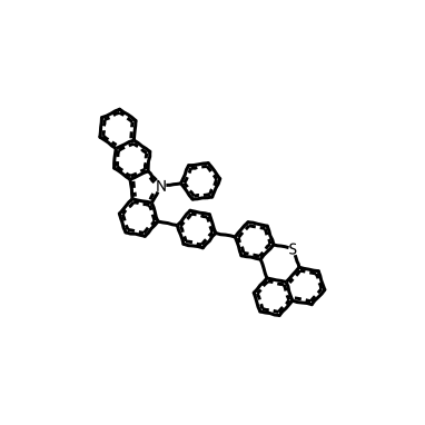 c1ccc(-n2c3cc4ccccc4cc3c3cccc(-c4ccc(-c5ccc6c(c5)-c5cccc7cccc(c57)S6)cc4)c32)cc1